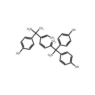 C=C(/C=C\C(=C/C)C(C)(N)c1ccc(O)cc1)C(N)(c1ccc(O)cc1)c1ccc(O)cc1